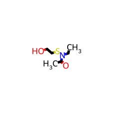 CCN(SCCO)C(C)=O